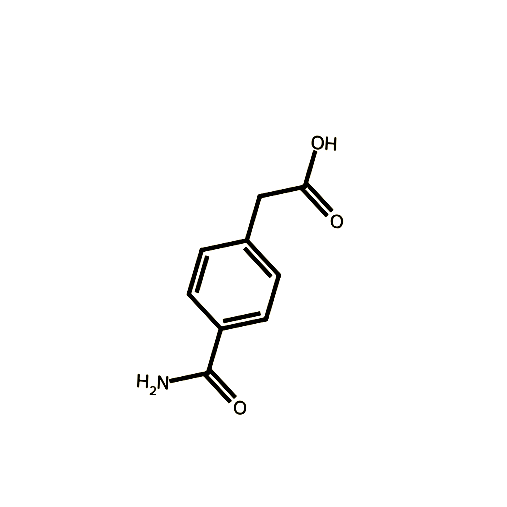 NC(=O)c1ccc(CC(=O)O)cc1